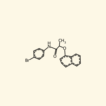 CC(Oc1cccc2ccccc12)C(=O)Nc1ccc(Br)cc1